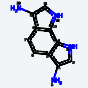 Nc1c[nH]c2c1ccc1c(N)c[nH]c12